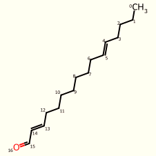 CCCCC=CCCCCCCCC=CC=O